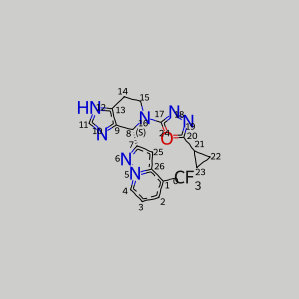 FC(F)(F)c1cccn2nc([C@@H]3c4nc[nH]c4CCN3c3nnc(C4CC4)o3)cc12